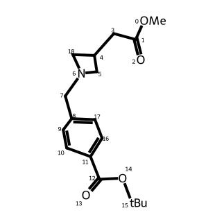 COC(=O)CC1CN(Cc2ccc(C(=O)OC(C)(C)C)cc2)C1